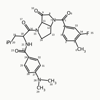 Cc1ccc(C(=O)N2CC(=O)C3C2CCN3C(=O)C(CC(C)C)NC(=O)c2ccc(N(C)C)cc2)cc1F